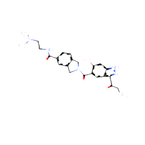 CCC(=O)c1n[nH]c2cc(O)c(C(=O)N3Cc4ccc(C(=O)NCCN(C)C)cc4C3)cc12